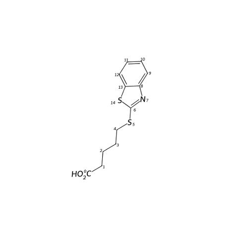 O=C(O)CCCCSc1nc2ccccc2s1